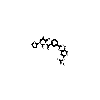 CC(=O)Oc1cc(OC(=O)c2cccc(C(=O)n3c(=O)c(F)cn(C4CCCO4)c3=O)c2)c(Cl)cn1